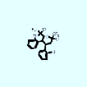 FC(F)(F)C(Cl)(Cl)CC(c1ccccc1Cl)C(CC(Cl)(Cl)C(F)(F)F)c1ccccc1Cl